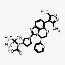 Cc1noc(C)c1-c1ccc2nc(N3CC[C@H](N(C(=O)O)C(C)(C)C)C3)n3c2c1OC[C@@H]3c1ccccn1